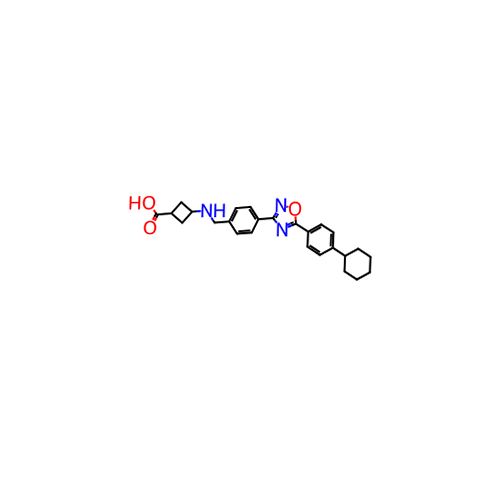 O=C(O)C1CC(NCc2ccc(-c3noc(-c4ccc(C5CCCCC5)cc4)n3)cc2)C1